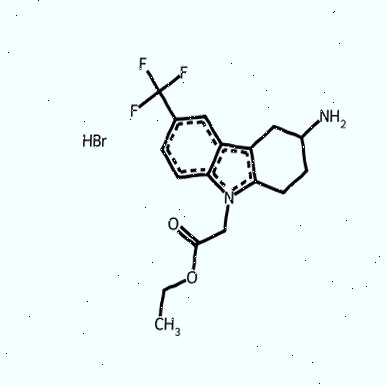 Br.CCOC(=O)Cn1c2c(c3cc(C(F)(F)F)ccc31)CC(N)CC2